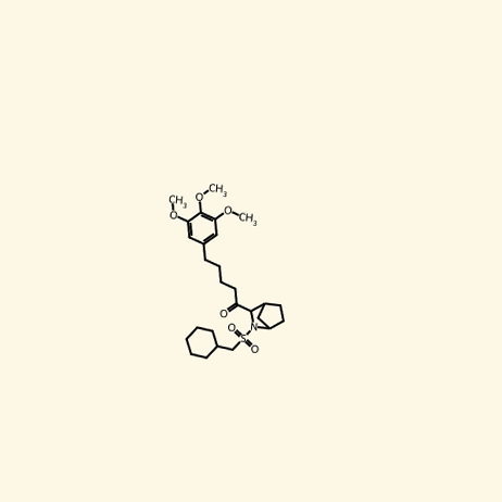 COc1cc(CCCCC(=O)C2C3CCC(C3)N2S(=O)(=O)CC2CCCCC2)cc(OC)c1OC